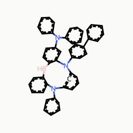 B1c2ccccc2N(c2ccccc2)c2cccc(c2)N(c2ccc(-c3ccccc3)cc2)c2cc(N(c3ccccc3)c3ccccc3)ccc21